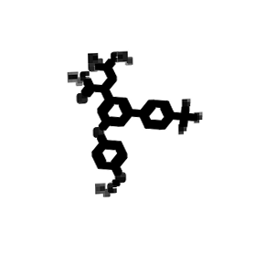 COc1ccc(Oc2cc(-c3ccc(C(F)(F)F)cc3)cc(C(CC(C)C)C(C)=O)c2)cc1